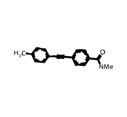 CNC(=O)c1ccc(C#Cc2ccc(C)cc2)cc1